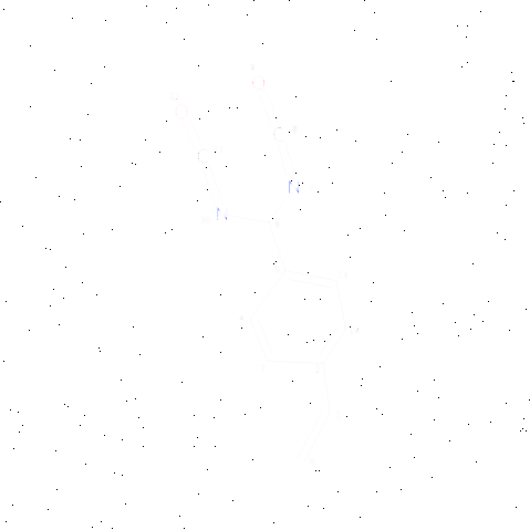 C=Cc1ccc(C(N=C=O)N=C=O)cc1